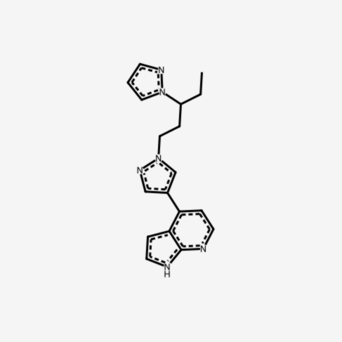 CCC(CCn1cc(-c2ccnc3[nH]ccc23)cn1)n1cccn1